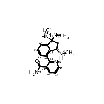 CNC1CC(NC)(NC)c2cccc(-c3ncccc3C(N)=O)c21